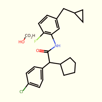 O=C(Nc1cc(CC2CC2)ccc1F)C(c1ccc(Cl)cc1)C1CCCC1.O=C(O)O